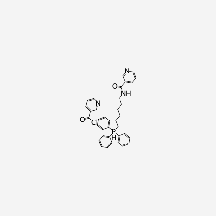 O=C(Cl)c1cccnc1.O=C(NCCCCCC[PH](c1ccccc1)(c1ccccc1)c1ccccc1)c1cccnc1